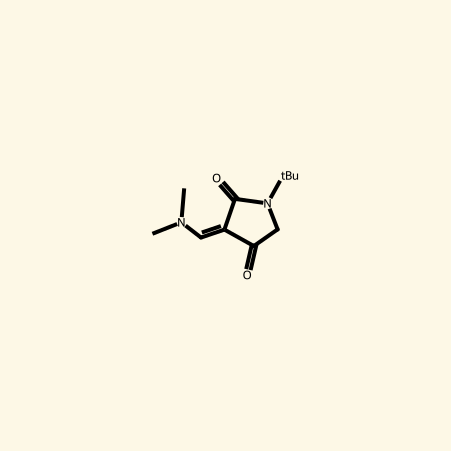 CN(C)C=C1C(=O)CN(C(C)(C)C)C1=O